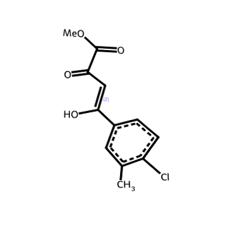 COC(=O)C(=O)/C=C(\O)c1ccc(Cl)c(C)c1